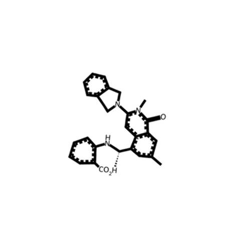 Cc1cc([C@H](C)Nc2ccccc2C(=O)O)c2cc(N3Cc4ccccc4C3)n(C)c(=O)c2c1